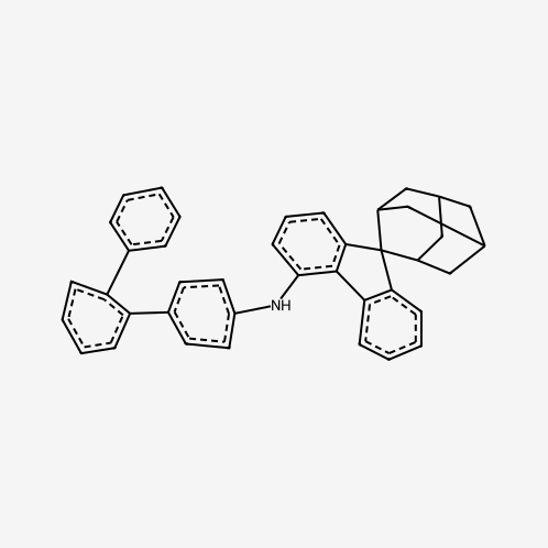 c1ccc(-c2ccccc2-c2ccc(Nc3cccc4c3-c3ccccc3C43C4CC5CC(C4)CC3C5)cc2)cc1